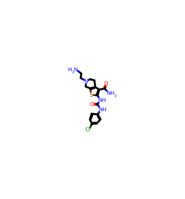 NCCN1CCc2c(sc(NC(=O)Nc3ccc(Cl)cc3)c2C(N)=O)C1